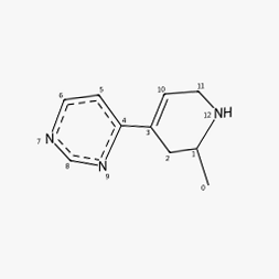 CC1CC(c2ccncn2)=CCN1